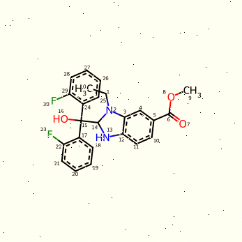 CCN1c2cc(C(=O)OC)ccc2NC1C(O)(c1ccccc1F)c1ccccc1F